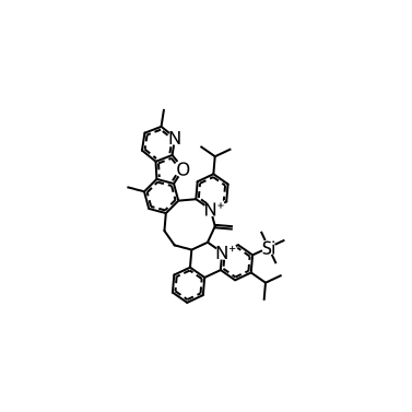 C=C1C2C(CCc3cc(C)c4c(oc5nc(C)ccc54)c3-c3cc(C(C)C)cc[n+]31)c1ccccc1-c1cc(C(C)C)c([Si](C)(C)C)c[n+]12